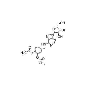 CC(=O)Oc1ccc(CNc2ncnc3c2ncn3C2O[C@H](CO)[C@@H](O)[C@H]2O)cc1OC(C)=O